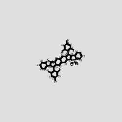 Cc1cc(C)c(C2=c3cc4cc5c(cc4cc3C3=C2c2ccccc2S3(=O)=O)=C(c2c(C)cc(C)cc2C)c2c-5sc3ccccc23)c(C)c1